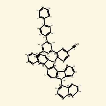 N#Cc1ccc(-n2c3ccccc3c3ccc4c(c5ccccc5n4-c4cccc5ccccc45)c32)c(-c2nc(-c3ccccc3)nc(-c3ccc(-c4ccccc4)cc3)n2)c1